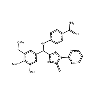 COCc1cc(C(Nc2ccc(C(=N)N)cc2)c2nn(-c3ncccn3)c(=O)[nH]2)cc(OC)c1OC